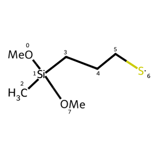 CO[Si](C)(CCC[S])OC